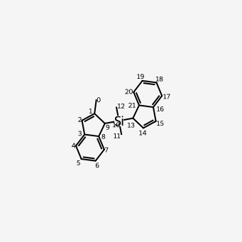 CC1=Cc2ccccc2C1[Si](C)(C)C1C=Cc2ccccc21